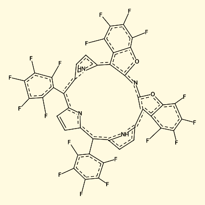 Fc1c(F)c(F)c(-c2c3nc(c(-c4c(F)c(F)c(F)c(F)c4F)c4ccc([nH]4)c4c(nc5oc6c(F)c(F)c(F)c(F)c6c5c5ccc2[nH]5)oc2c(F)c(F)c(F)c(F)c24)C=C3)c(F)c1F